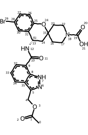 CC(=O)OCc1n[nH]c2c(C(=O)N[C@H]3CC4(CCN(C(=O)O)CC4)Oc4ccc(Br)cc43)cccc12